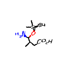 CC(CC(=O)O)C(N)O[Si](C)(C)C(C)(C)C